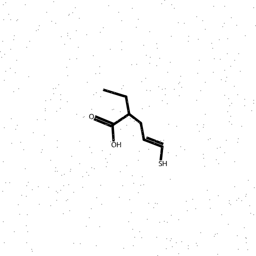 CCC(CC=CS)C(=O)O